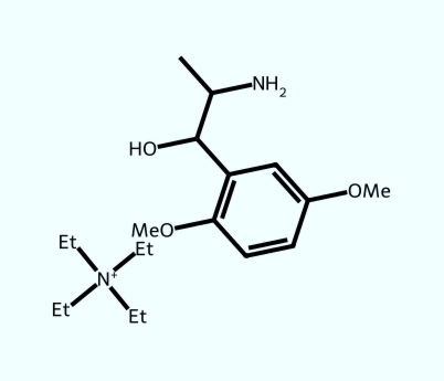 CC[N+](CC)(CC)CC.COc1ccc(OC)c(C(O)C(C)N)c1